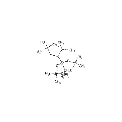 CC(C)[C](CC(C)(C)C)[Si](O[SiH3])(O[Si](C)(C)C)O[Si](C)(C)C